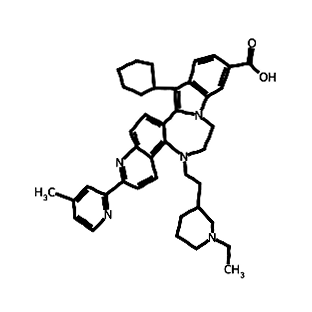 CCN1CCCC(CCN2CCn3c(c(C4CCCCC4)c4ccc(C(=O)O)cc43)-c3ccc4nc(-c5cc(C)ccn5)ccc4c32)C1